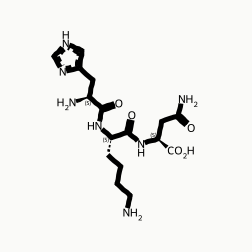 NCCCC[C@H](NC(=O)[C@@H](N)Cc1c[nH]cn1)C(=O)N[C@@H](CC(N)=O)C(=O)O